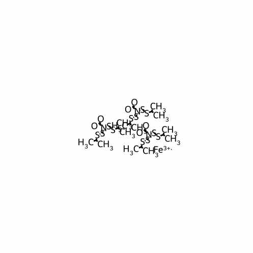 CC(C)SSN(SSC(C)C)C(=O)[O-].CC(C)SSN(SSC(C)C)C(=O)[O-].CC(C)SSN(SSC(C)C)C(=O)[O-].[Fe+3]